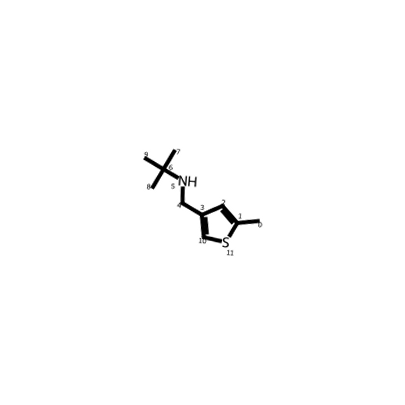 Cc1cc(CNC(C)(C)C)cs1